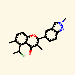 Cc1ccc2oc(-c3ccc4nn(C)cc4c3)c(C)c(=O)c2c1C(C)Br